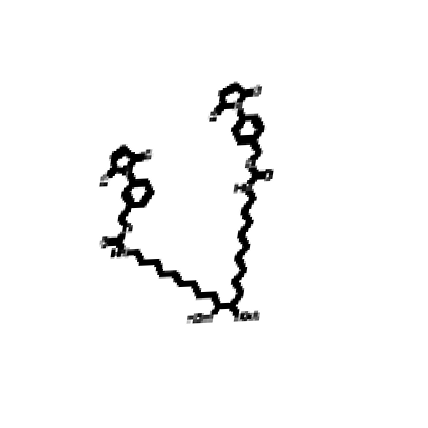 CCCCCCCCC(CCCCCCCCCNC(=O)OCc1ccc(N2C(=O)C=CC2=O)cc1)C(CCCCCCCC)CCCCCCCCCNC(=O)OCc1cccc(N2C(=O)C#CC2=O)c1